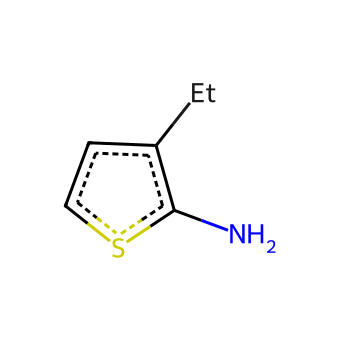 [CH2]Cc1ccsc1N